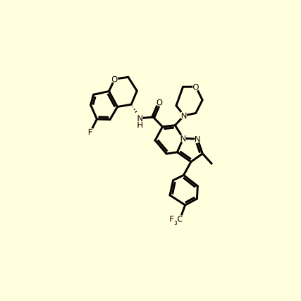 Cc1nn2c(N3CCOCC3)c(C(=O)N[C@H]3CCOc4ccc(F)cc43)ccc2c1-c1ccc(C(F)(F)F)cc1